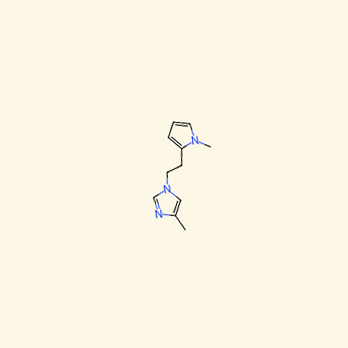 Cc1cn(CCc2cccn2C)cn1